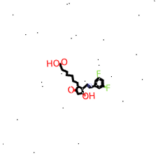 O=C(O)CCCCCCC1C(=O)CC(O)C1/C=C/c1cc(F)cc(F)c1